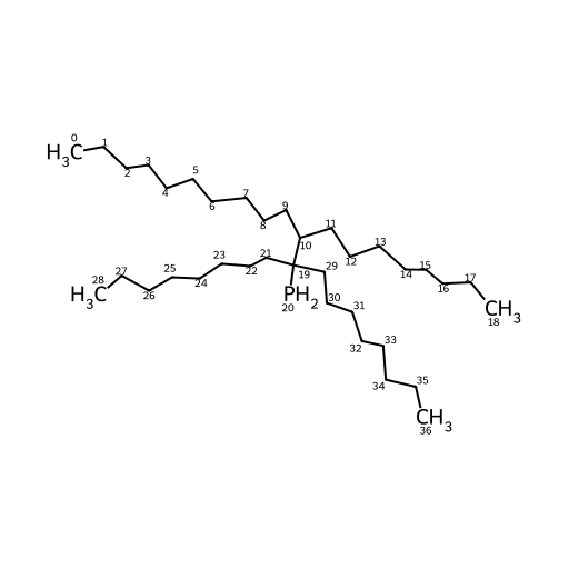 CCCCCCCCCCC(CCCCCCCC)C(P)(CCCCCCCC)CCCCCCCC